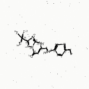 CCc1ccc(NCc2cc(=O)n3nc(C(F)(F)F)nc3[nH]2)cc1